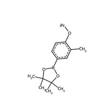 Cc1cc(B2OC(C)(C)C(C)(C)O2)ccc1OC(C)C